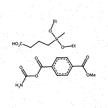 CCO[Si](C)(CCCC(=O)O)OCC.COC(=O)c1ccc(C(=O)OC(N)=O)cc1